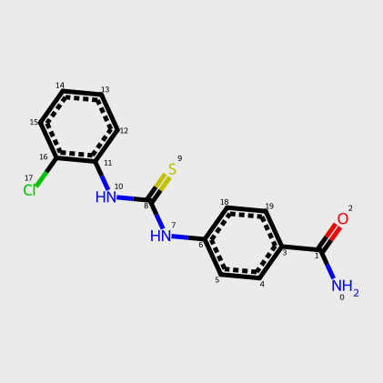 NC(=O)c1ccc(NC(=S)Nc2ccccc2Cl)cc1